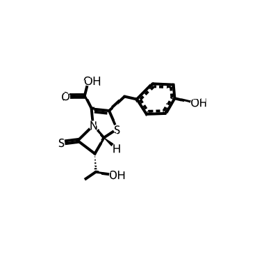 CC(O)[C@@H]1C(=S)N2C(C(=O)O)=C(Cc3ccc(O)cc3)S[C@H]12